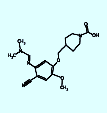 COc1cc(C#N)c(N=CN(C)C)cc1OCC1CCN(C(=O)O)CC1